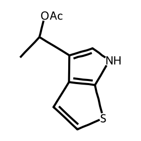 CC(=O)OC(C)c1c[nH]c2sccc12